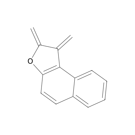 C=c1oc2ccc3ccccc3c2c1=C